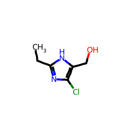 CCc1nc(Cl)c(CO)[nH]1